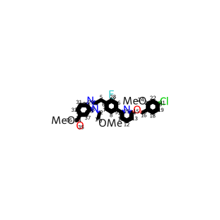 COCCn1c(Cc2ccc(-c3cccc(OCc4ccc(Cl)cc4OC)n3)cc2F)nc2ccc(C(=O)OC)cc21